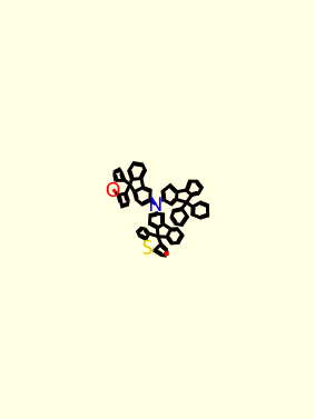 c1ccc(C2(c3ccccc3)c3ccccc3-c3ccc(N(c4ccc5c(c4)-c4ccccc4C54c5ccccc5Oc5ccccc54)c4ccc5c(c4)-c4ccccc4C54c5ccccc5Sc5ccccc54)cc32)cc1